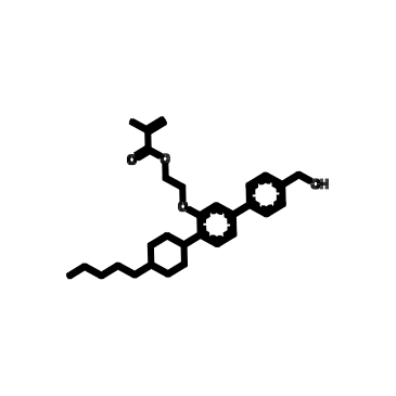 C=C(C)C(=O)OCCOc1cc(-c2ccc(CO)cc2)ccc1C1CCC(CCCCC)CC1